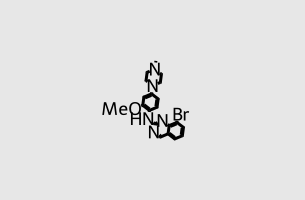 COc1cc(N2CCN(C)CC2)ccc1Nc1ncc2cccc(Br)c2n1